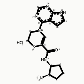 Cl.N[C@@H]1CCC[C@@H]1NC(=O)C1=CN(c2ncnc3[nH]ccc23)CCS1